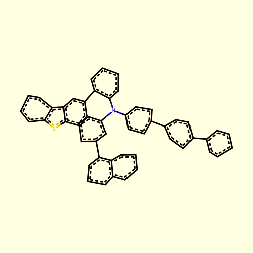 c1ccc(-c2ccc(-c3ccc(N(c4cccc(-c5cccc6ccccc56)c4)c4ccccc4-c4ccc5sc6ccccc6c5c4)cc3)cc2)cc1